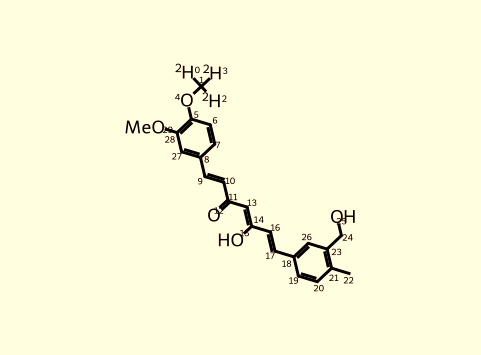 [2H]C([2H])([2H])Oc1ccc(/C=C/C(=O)/C=C(O)/C=C/c2ccc(C)c(CO)c2)cc1OC